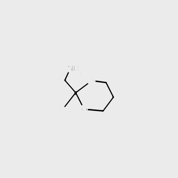 CC1(CN)OCCCO1